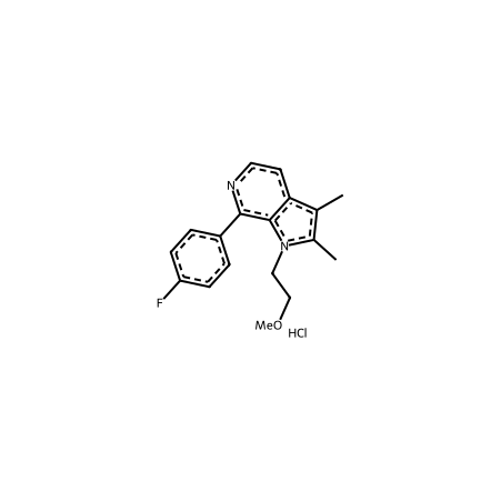 COCCn1c(C)c(C)c2ccnc(-c3ccc(F)cc3)c21.Cl